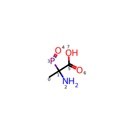 CC(N)(P=O)C(=O)O